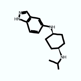 CC(C)N[C@H]1CC[C@@H](Nc2ccc3[nH]ncc3c2)CC1